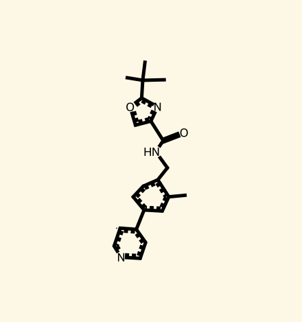 Cc1cc(-c2[c]cncc2)ccc1CNC(=O)c1coc(C(C)(C)C)n1